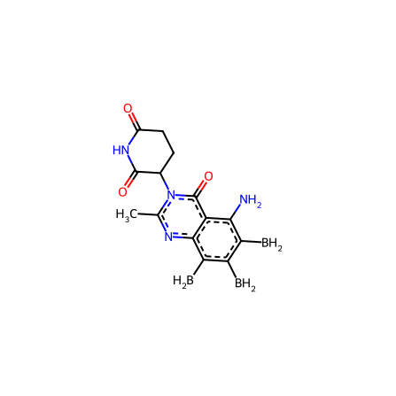 Bc1c(B)c(N)c2c(=O)n(C3CCC(=O)NC3=O)c(C)nc2c1B